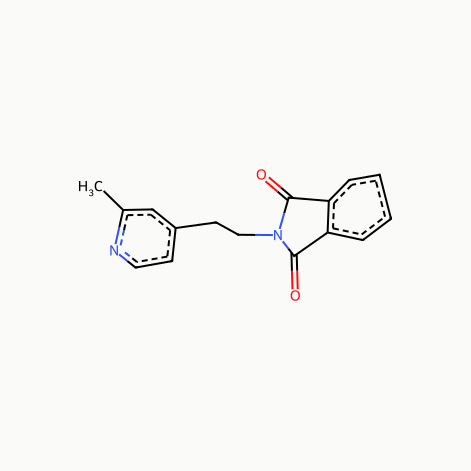 Cc1cc(CCN2C(=O)c3ccccc3C2=O)ccn1